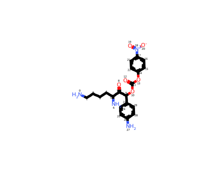 NCCCCC(N)C(=O)C(OC(=O)Oc1ccc([N+](=O)[O-])cc1)c1ccc(N)cc1